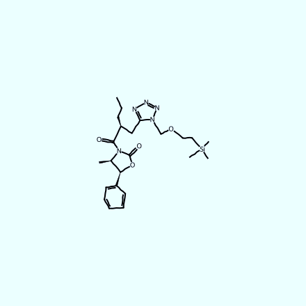 CCC[C@@H](Cc1nnnn1COCC[Si](C)(C)C)C(=O)N1C(=O)O[C@@H](c2ccccc2)[C@H]1C